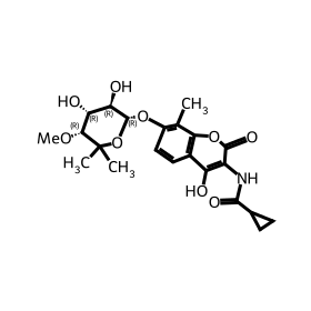 CO[C@@H]1[C@H](O)[C@@H](O)[C@H](Oc2ccc3c(O)c(NC(=O)C4CC4)c(=O)oc3c2C)OC1(C)C